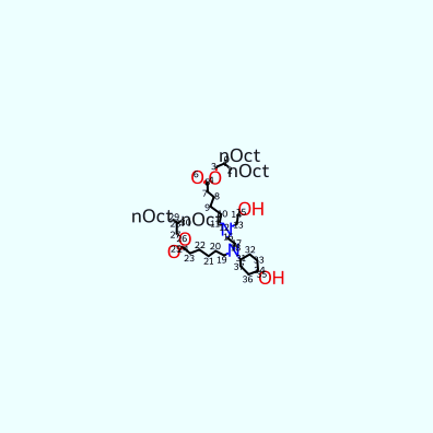 CCCCCCCCC(CCCCCCCC)COC(=O)CCCCCN(CCO)CCN(CCCCCC(=O)OCC(CCCCCCCC)CCCCCCCC)C1CCC(O)CC1